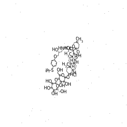 CCCCCCCCNCC(O)COc1ccc(SC(C)C)cc1.C[C@@H]1CC[C@@]2(OC1)O[C@H]1C[C@H]3[C@@H]4CC[C@H]5C[C@@H](O[C@@H]6O[C@H](CO)[C@@H](O[C@@H]7O[C@H](CO)[C@@H](O)[C@H](O)[C@H]7O)[C@H](O)[C@H]6O)CC[C@]5(C)[C@H]4CC[C@]3(C)[C@H]1[C@@H]2C.Cl